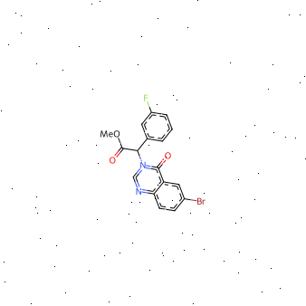 COC(=O)C(c1cccc(F)c1)n1cnc2ccc(Br)cc2c1=O